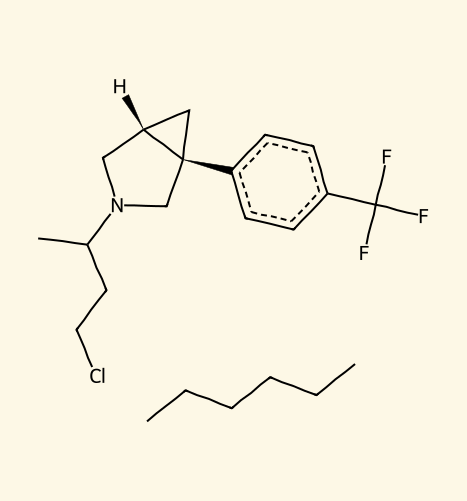 CC(CCCl)N1C[C@@H]2C[C@]2(c2ccc(C(F)(F)F)cc2)C1.CCCCCC